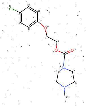 CC(C)N1CCN(C(=O)OCCOc2ccc(Cl)cc2)CC1